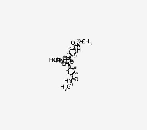 CCNC(=O)c1ccc(-c2ccc(-c3ccc(C(=O)NCC)cc3)o2)cc1.CNC.Cl.Cl